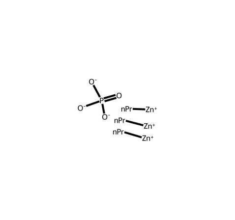 CC[CH2][Zn+].CC[CH2][Zn+].CC[CH2][Zn+].O=P([O-])([O-])[O-]